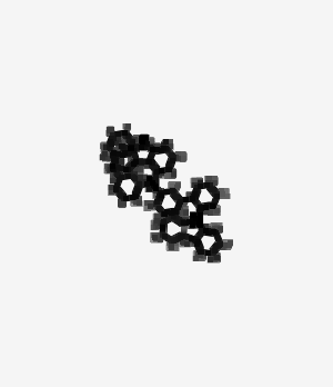 C1=C/C(=C/c2ccccc2)CC(N(c2cccc(-c3ccccc3-n3c4ccccc4c4ccccc43)c2)c2cccc3sc4ccccc4c23)=C1